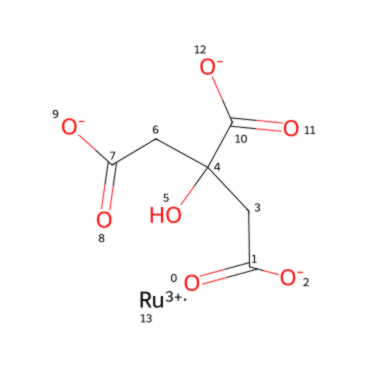 O=C([O-])CC(O)(CC(=O)[O-])C(=O)[O-].[Ru+3]